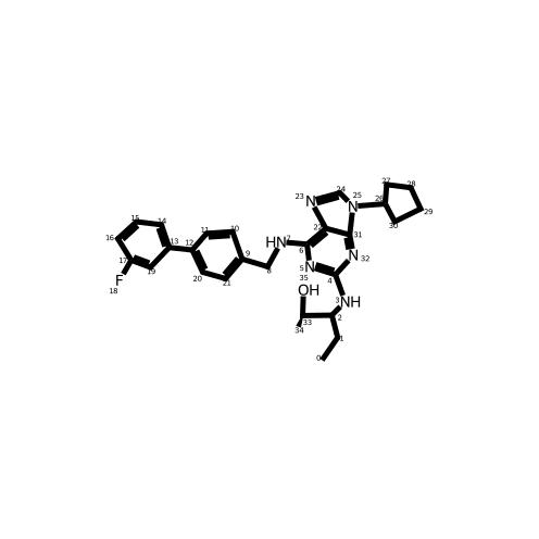 CCC(Nc1nc(NCc2ccc(-c3cccc(F)c3)cc2)c2ncn(C3CCCC3)c2n1)[C@@H](C)O